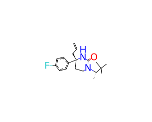 C=CC[C@]1(c2ccc(F)cc2)CCN([C@@H](C)C(C)(C)C)C(=O)N1